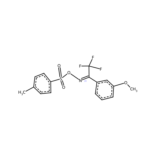 COc1cccc(/C(=N/OS(=O)(=O)c2ccc(C)cc2)C(F)(F)F)c1